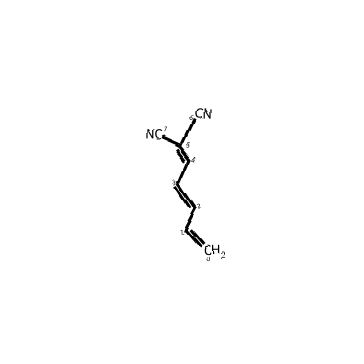 C=CC=CC=C(C#N)C#N